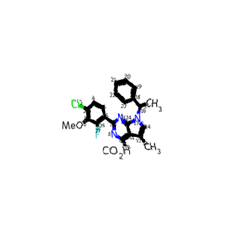 COc1c(Cl)ccc(-c2nc(C(=O)O)c3c(C)cn(C(C)c4ccccc4)c3n2)c1F